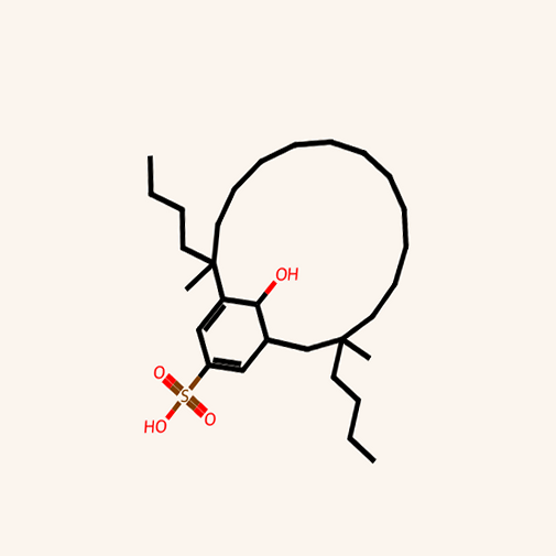 CCCCC1(C)CCCCCCCCCCCC(C)(CCCC)C2=CC(S(=O)(=O)O)=CC(C1)C2O